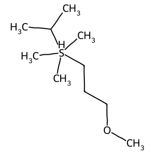 COCCC[SH](C)(C)(C)C(C)C